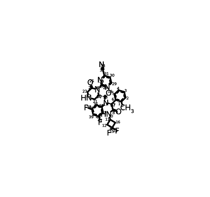 Cc1ccccc1[C@@H](C(=O)NC1CC(F)(F)C1)N(C(=O)[C@@H]1CNCC(=O)N1c1nccc(C#N)n1)c1cc(F)cc(F)c1